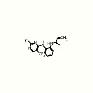 C=CC(=O)Nc1ccccc1Nc1nc(Cl)ncc1C(F)(F)F